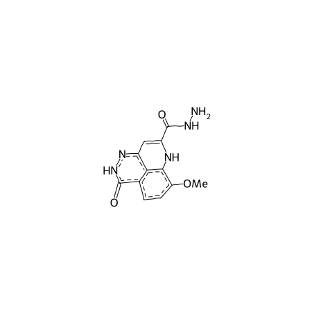 COc1ccc2c(=O)[nH]nc3c2c1NC(C(=O)NN)=C3